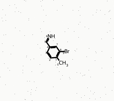 Cc1ccc(C=N)cc1Br